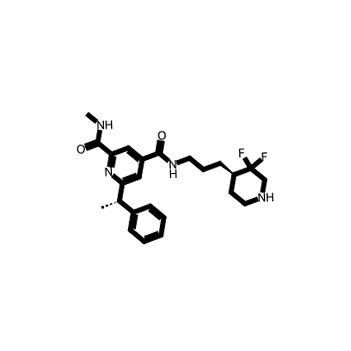 CNC(=O)c1cc(C(=O)NCCC[C@@H]2CCNCC2(F)F)cc([C@@H](C)c2ccccc2)n1